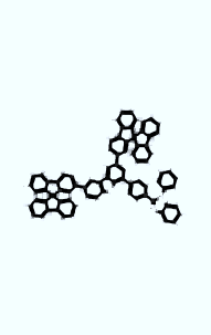 c1ccc(-n2c(-c3ccc(-c4cc(-c5ccc6c(c5)C5(c7ccccc7-c7ccccc75)c5ccccc5-6)cc5c4oc4ccc(-c6ccc7c(c6)C6(c8ccccc8-c8ccccc86)c6ccccc6-7)cc45)cc3)nc3ccccc32)cc1